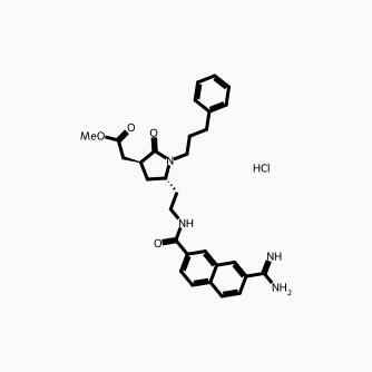 COC(=O)C[C@@H]1C[C@@H](CCNC(=O)c2ccc3ccc(C(=N)N)cc3c2)N(CCCc2ccccc2)C1=O.Cl